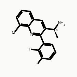 C[C@H](N)c1cc2cccc(Cl)c2nc1-c1cccc(F)c1F